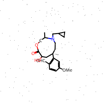 COc1ccc(C=O)c([C@]2(C)CCN(CC3CC3)C(C)COC(=O)C(O)C2)c1